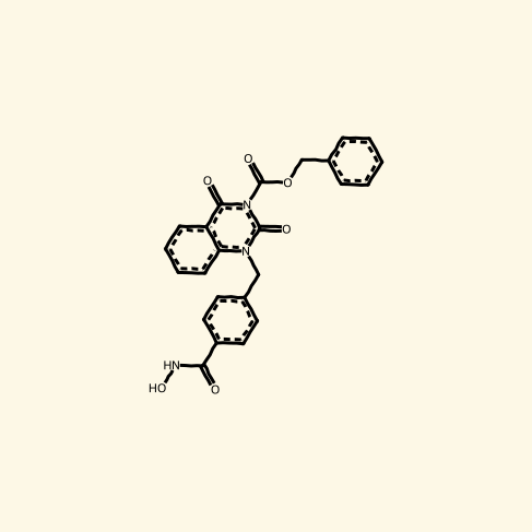 O=C(NO)c1ccc(Cn2c(=O)n(C(=O)OCc3ccccc3)c(=O)c3ccccc32)cc1